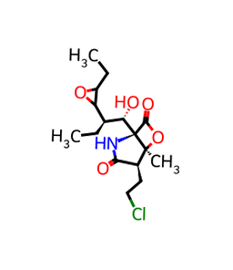 CCC1OC1[C@H](CC)[C@H](O)[C@@]12NC(=O)[C@H](CCCl)[C@]1(C)OC2=O